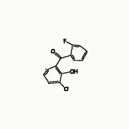 O=C(c1[c]ccc(Cl)c1O)c1ccccc1F